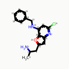 CC(N)Cc1cc2nc(Cl)cc(NCc3ccccc3)c2o1